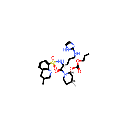 CCCOC(=O)O[C@@H]1C[C@H](C)CCN1C(=O)[C@H](CCCNc1ncc[nH]1)NS(=O)(=O)c1cccc2c1NCC(C)C2